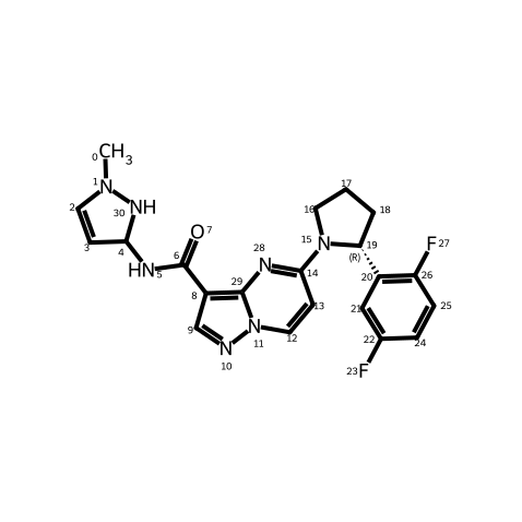 CN1C=CC(NC(=O)c2cnn3ccc(N4CCC[C@@H]4c4cc(F)ccc4F)nc23)N1